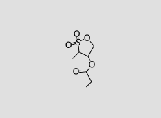 CCC(=O)OC1COS(=O)(=O)C1C